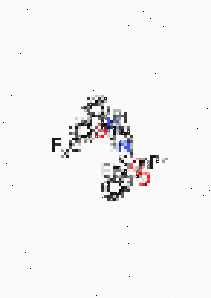 CCCOC(=O)CC(CC)(CCCN1CCC(N(CC)C(=O)c2ccccc2-c2ccc(C(F)(F)F)cc2)CC1)c1ccccc1